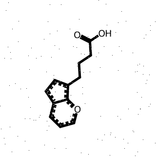 O=C(O)CCCc1ccc2cccoc1-2